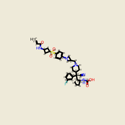 C=CC(=O)NC1CC(S(=O)(=O)c2ccc(N3CC(CN4CCC([C@@](C#N)(c5cccc(F)c5)[C@H]5CCC[C@@H]5NC(=O)O)CC4)C3)cc2)C1